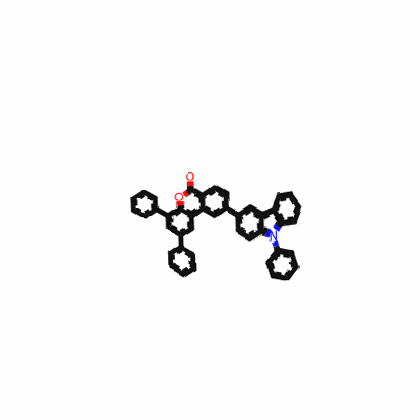 O=c1oc2c(-c3ccccc3)cc(-c3ccccc3)cc2c2cc(-c3ccc4c(c3)c3ccccc3n4-c3ccccc3)ccc12